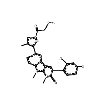 COCC(=O)n1cc(C)c(-c2ccc3c(c2)c2cc(-c4ccc(Cl)cc4Cl)c(=O)n(C)c2n3C)n1